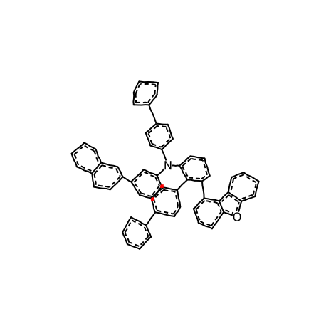 c1ccc(-c2ccc(-c3c(-c4cccc5oc6ccccc6c45)cccc3N(c3ccc(-c4ccccc4)cc3)c3cccc(-c4ccc5ccccc5c4)c3)cc2)cc1